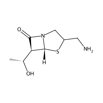 C[C@@H](O)[C@H]1C(=O)N2CC(CN)S[C@H]12